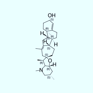 CC1=C2C[C@H]3[C@@H](CCC4=C[C@@H](O)CC[C@@]43C)[C@@H]2CC[C@@]2(C1)O[C@@H]1C[C@H](C)CN(C)C1[C@H]2C